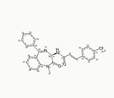 CN1C(=O)[C@H](NC(=O)C=Cc2ccc(C(F)(F)F)cc2)N=C(c2ccccc2)c2ccccc21